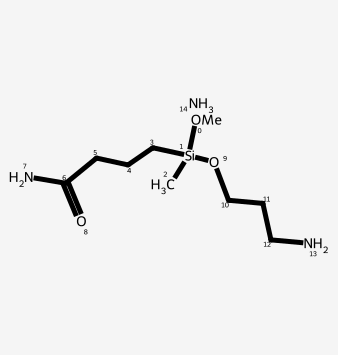 CO[Si](C)(CCCC(N)=O)OCCCN.N